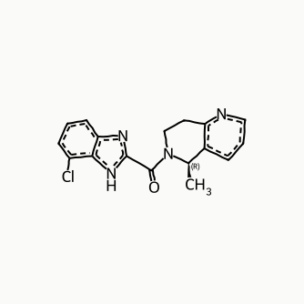 C[C@@H]1c2cccnc2CCN1C(=O)c1nc2cccc(Cl)c2[nH]1